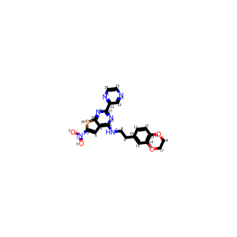 O=[N+]([O-])c1cc2c(NCCc3ccc4c(c3)OCCO4)nc(-c3cnccn3)nc2s1